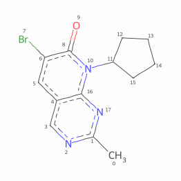 Cc1ncc2cc(Br)c(=O)n(C3CCCC3)c2n1